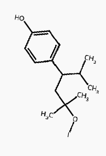 CC(C)C(CC(C)(C)OI)c1ccc(O)cc1